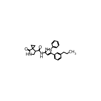 CCCc1cccc(-c2cc(NC(=O)C3CNC(=O)C34CC4)nn2-c2ccccc2)c1